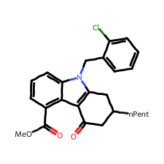 CCCCCC1CC(=O)c2c(n(Cc3ccccc3Cl)c3cccc(C(=O)OC)c23)C1